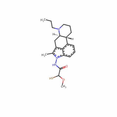 CCCN1CCC[C@@H]2c3cccc4c3c(c(C)n4NC(=O)C(S)OC)C[C@H]21